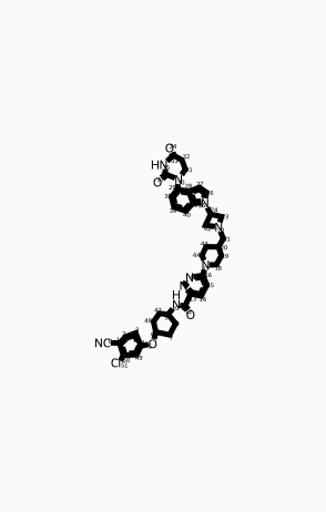 N#Cc1ccc(OC2CCC(NC(=O)c3ccc(N4CCC(CN5CC(n6ccc7c(N8CCC(=O)NC8=O)cccc76)C5)CC4)nn3)CC2)cc1Cl